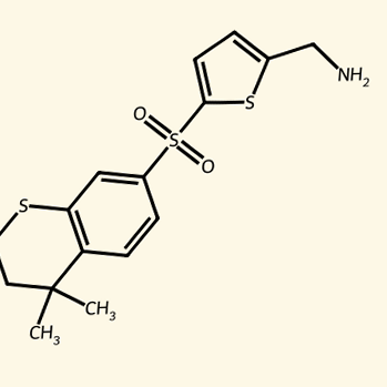 CC1(C)CCSc2cc(S(=O)(=O)c3ccc(CN)s3)ccc21